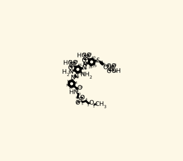 CCOCCCS(=O)(=O)CCNC(=O)c1cccc(N=Nc2c(N)c(N=Nc3ccc(SC#COOS(=O)(=O)O)cc3S(=O)(=O)O)cc(S(=O)(=O)O)c2N)c1